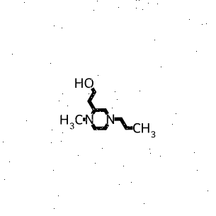 CCCN1CCN(C)C(CCO)C1